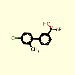 CCC[C@H](O)c1cccc(-c2ccc(Cl)cc2C)c1